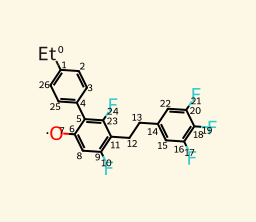 CCc1ccc(-c2c([O])cc(F)c(CCc3cc(F)c(F)c(F)c3)c2F)cc1